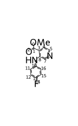 COC(=O)c1ccncc1Nc1ccc(F)cc1